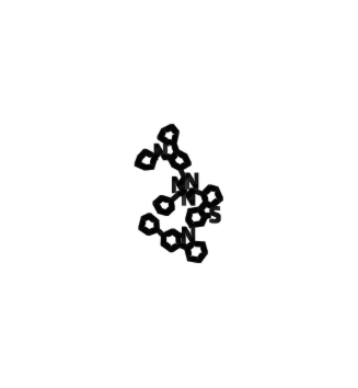 c1ccc(-c2ccc3c4ccccc4n(-c4ccc5c(c4)sc4cccc(-c6nc(-c7ccccc7)nc(-c7ccc8c9ccccc9n(-c9ccccc9)c8c7)n6)c45)c3c2)cc1